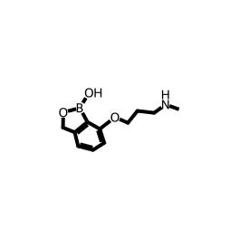 CNCCCOc1cccc2c1B(O)OC2